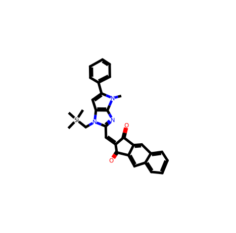 Cn1c(-c2ccccc2)cc2c1nc(C=C1C(=O)c3cc4ccccc4cc3C1=O)n2C[Si](C)(C)C